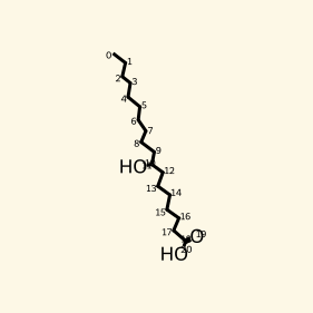 CCCCCCCCCCC(O)CCCCCCC(=O)O